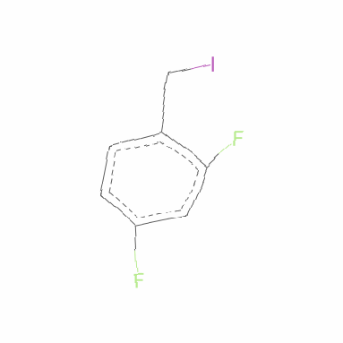 Fc1ccc(CI)c(F)c1